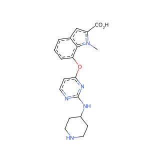 Cn1c(C(=O)O)cc2cccc(Oc3ccnc(NC4CCNCC4)n3)c21